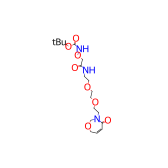 CC(C)(C)OC(=O)NOCC(=O)NCCOCCOCCN1COCC=CC1=O